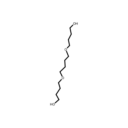 OCCCCOCCCCOCCCCO